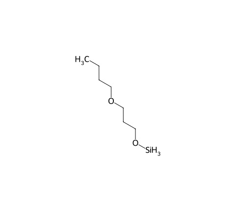 CCCCOCCCO[SiH3]